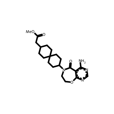 COC(=O)CC1CCC2(CC1)CCC(N1CCOc3ncnc(N)c3C1=O)CC2